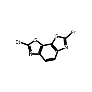 CCc1nc2ccc3nc(CC)sc3c2s1